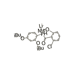 CCC(C)Oc1ccc(PC(=O)c2c(Cl)cccc2OC)c(OC(C)CC)c1.[Li]